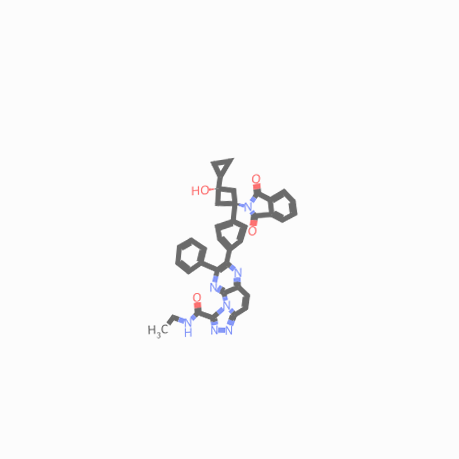 CCNC(=O)c1nnc2ccc3nc(-c4ccc([C@]5(N6C(=O)c7ccccc7C6=O)C[C@@](O)(C6CC6)C5)cc4)c(-c4ccccc4)nc3n12